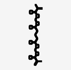 C=C(C)C(=O)OCOC(=O)CCCC(=O)OCOC(=O)C(=C)C